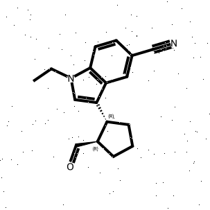 CCn1cc([C@@H]2CCC[C@H]2C=O)c2cc(C#N)ccc21